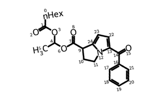 CCCCCCC(=O)OC(C)OC(=O)C1CCn2c(C(=O)c3ccccc3)ccc21